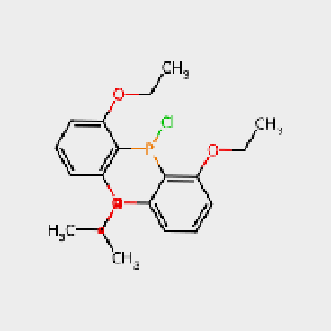 CCOc1cccc(OCC)c1P(Cl)c1c(OCC)cccc1OCC